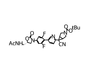 CC(=O)NC[C@H]1CN(c2cc(F)c(-c3ccc(C4(C#N)C5CN(C(=O)OC(C)(C)C)CC54)nc3)c(F)c2)C(=O)O1